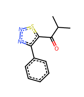 CC(C)C(=O)c1snnc1-c1ccccc1